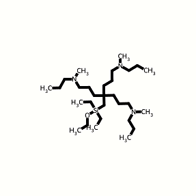 CCCN(C)CCCC(CCCN(C)CCC)(CCCN(C)CCC)C[Si](CC)(CC)OCC